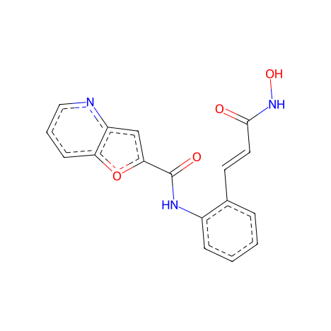 O=C(C=Cc1ccccc1NC(=O)c1cc2ncccc2o1)NO